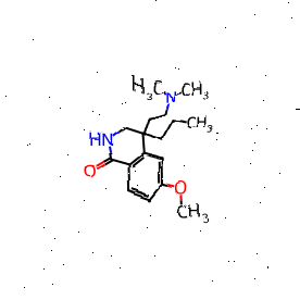 CCCC1(CCN(C)C)CNC(=O)c2ccc(OC)cc21